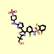 CC(C)(CO)c1nc(-c2cccc(NS(=O)(=O)c3c(F)cccc3F)c2F)c(-c2ccnc(NC3CCN(S(C)(=O)=O)CC3)n2)s1